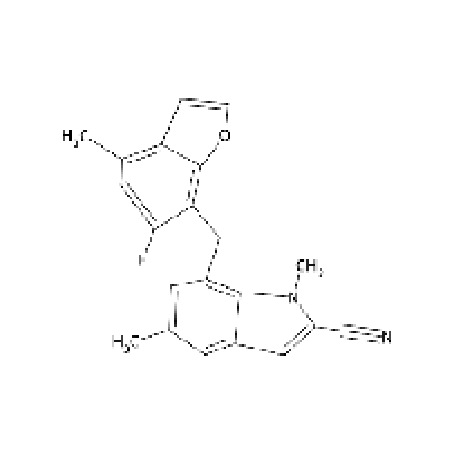 Cc1cc(Cc2c(F)cc(C)c3ccoc23)c2c(c1)cc(C#N)n2C